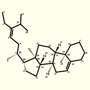 CCC(=CC[C@@H](C)[C@H]1CC[C@H]2[C@@H]3CC=C4CCCC[C@]4(C)[C@H]3CC[C@]12C)C(C)C